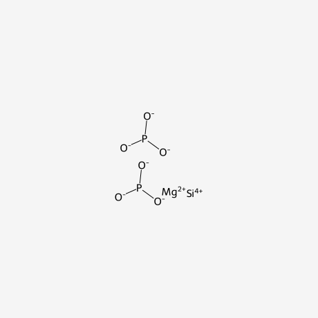 [Mg+2].[O-]P([O-])[O-].[O-]P([O-])[O-].[Si+4]